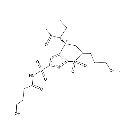 CCN(C(C)=O)[C@H]1CC(CCCOC)S(=O)(=O)c2sc(S(=O)(=O)NC(=O)CCCO)cc21